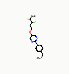 CCCCCCCCCCCc1ccc(-c2ncc(OCCC(F)C(F)CCCC)cn2)cc1